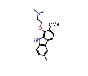 COc1ccc2c([nH]c3ccc(C)cc32)c1OCCN(C)C